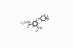 NNC(=O)c1cc(OC2CCC(F)(F)CC2)cc([N+](=O)[O-])c1